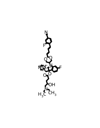 CCN(CC)CC(O)CCC(=O)OC(Cn1cncn1)(c1ccc(F)cc1F)C(C)SC1COC(C=CC=Cc2ccc(C#N)cc2F)OC1